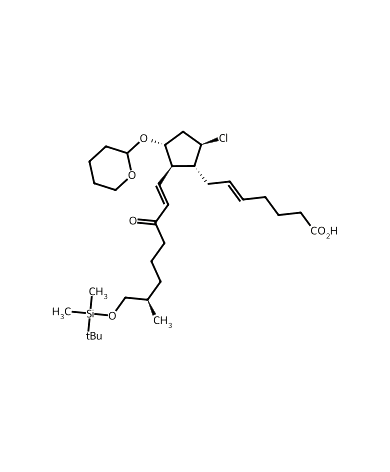 C[C@H](CCCC(=O)C=C[C@@H]1[C@@H](CC=CCCCC(=O)O)[C@H](Cl)C[C@H]1OC1CCCCO1)CO[Si](C)(C)C(C)(C)C